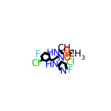 Cc1[nH]c(C(Nc2cnc(F)c(Cl)c2)c2ccc(F)c(Cl)c2)nc1S(C)(=O)=O